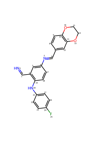 N=Cc1cc(/N=C/c2ccc3c(c2)OCCO3)ccc1Nc1ccc(F)cc1